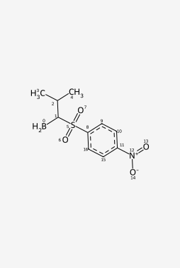 BC(C(C)C)S(=O)(=O)c1ccc([N+](=O)[O-])cc1